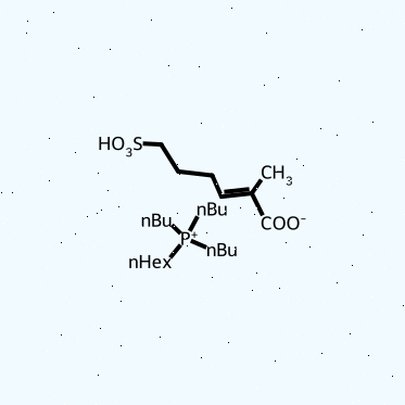 CC(=CCCCS(=O)(=O)O)C(=O)[O-].CCCCCC[P+](CCCC)(CCCC)CCCC